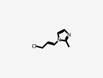 Cc1nccn1C=CCCl